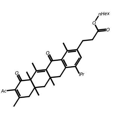 CCCCCCOC(=O)CCc1cc(C(C)C)c2c(c1C)C(=O)C1=C(C)C3(C)C(=O)C(C(C)=O)=C(C)CC3(C)CC1(C)C2